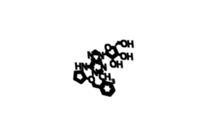 Cc1ccccc1CO[C@H]1CCC[C@@H]1Nc1ncnc2c1ncn2[C@@H]1O[C@H](CO)[C@@H](O)[C@H]1O